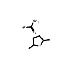 CC1CCC(C)O1.NC(=O)O